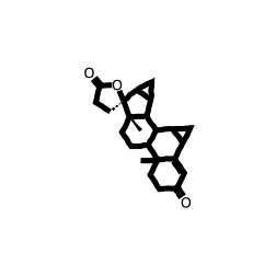 CC12CCC(=O)C=C1C1CC1C1C2CC[C@@]2(C)C1C1CC1[C@@]21CCC(=O)O1